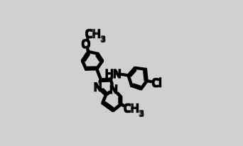 COc1ccc(-c2nc3ccc(C)cn3c2Nc2ccc(Cl)cc2)cc1